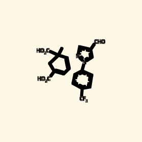 CC1(C(=O)O)C=CC=C(C(=O)O)C1.O=Cc1cnn(-c2ccc(C(F)(F)F)cc2)c1